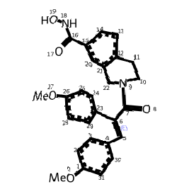 COc1ccc(/C=C(/C(=O)N2CCc3ccc(C(=O)NO)cc3C2)c2ccc(OC)cc2)cc1